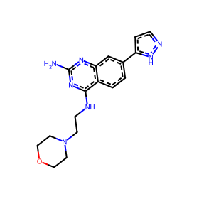 Nc1nc(NCCN2CCOCC2)c2ccc(-c3ccn[nH]3)cc2n1